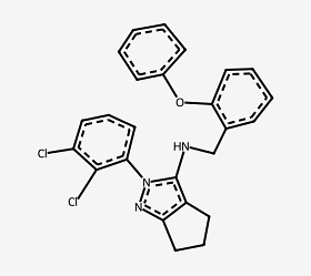 Clc1cccc(-n2nc3c(c2NCc2ccccc2Oc2ccccc2)CCC3)c1Cl